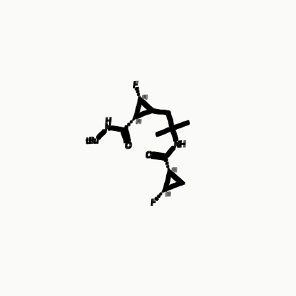 CC(C)(C)NC(=O)[C@H]1C(CC(C)(C)NC(=O)[C@@H]2C[C@@H]2F)[C@H]1F